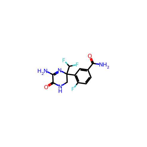 NC(=O)c1ccc(F)c(C2(C(F)F)CNC(=O)C(N)=N2)c1